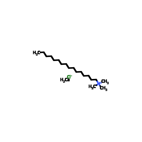 CCCCCCCCCCCCCCCC[N+](C)(C)C.[CaH2].[Cl-]